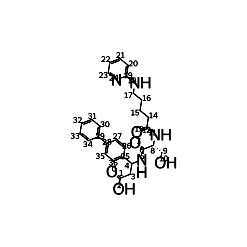 O=C(O)CC(NC(=O)[C@@H](CO)NC(=O)CCCCNc1ccccn1)c1ccc(-c2ccccc2)cc1